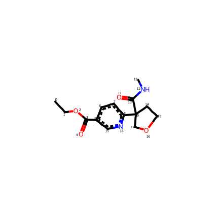 CCOC(=O)c1ccc(C2(C(=O)NC)CCOC2)nc1